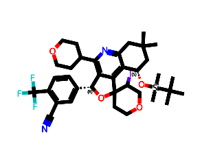 CC1(C)Cc2nc(C3CCOCC3)c3c(c2[C@@H](O[Si](C)(C)C(C)(C)C)C1)C1(CCOCC1I)O[C@@H]3c1ccc(C(F)(F)F)c(C#N)c1